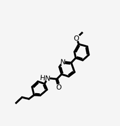 CCCc1ccc(NC(=O)c2ccc(-c3cccc(OC)c3)nc2)cc1